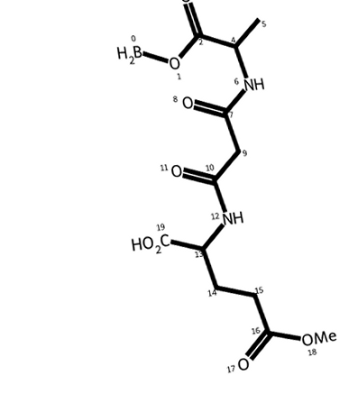 BOC(=O)C(C)NC(=O)CC(=O)NC(CCC(=O)OC)C(=O)O